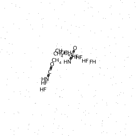 C.C.C.C.C.F.F.F.F.F.F.N=C=O.N=C=O